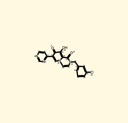 O=c1c(-c2ccncn2)cn2ccn(Cc3cccc(Cl)c3)c(=O)c2c1O